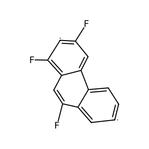 Fc1[c]c(F)c2cc(F)c3c[c]ccc3c2c1